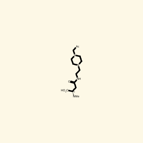 CN[C@@H](CC(=O)NCCN1CCN(CC(C)=O)CC1)C(=O)O